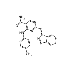 Cc1ccc(Nc2nc(On3nnc4ccccc43)ncc2C(N)=O)cc1